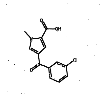 Cn1cc(C(=O)c2cccc(Cl)c2)cc1C(=O)O